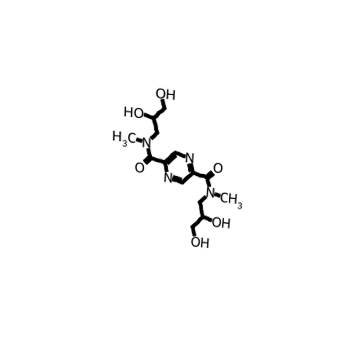 CN(CC(O)CO)C(=O)c1cnc(C(=O)N(C)CC(O)CO)cn1